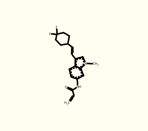 C=CC(=O)Nc1ccc2c(C=CC3CCC(F)(F)CC3)cn(C)c2c1